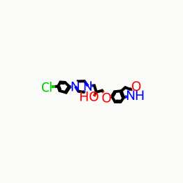 O=C1Cc2cc(OCC(O)CN3CCN(c4ccc(Cl)cc4)CC3)ccc2N1